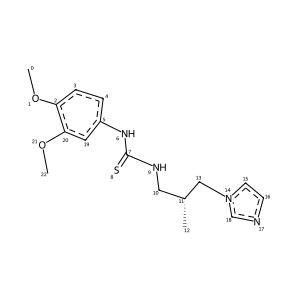 COc1ccc(NC(=S)NC[C@@H](C)Cn2ccnc2)cc1OC